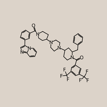 O=C(c1cccc(-c2cnc3ccccn23)c1)N1CCC(N2CCN(C3CCN(C(=O)c4cc(C(F)(F)F)cc(C(F)(F)F)c4)C(Cc4ccccc4)C3)CC2)CC1